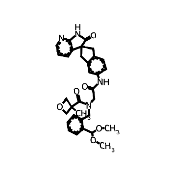 COC(OC)c1ccccc1CN(CC(=O)Nc1ccc2c(c1)CC1(C2)C(=O)Nc2ncccc21)C(=O)C1(C)COC1